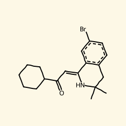 CC1(C)Cc2ccc(Br)cc2C(=CC(=O)C2CCCCC2)N1